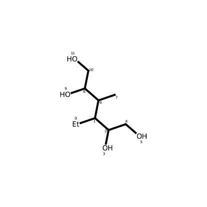 CCC(C(O)CO)C(C)C(O)CO